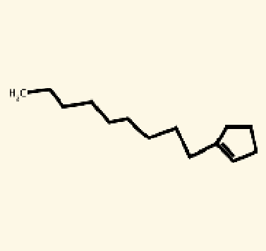 CCCCCCCC[CH]C1=CCCC1